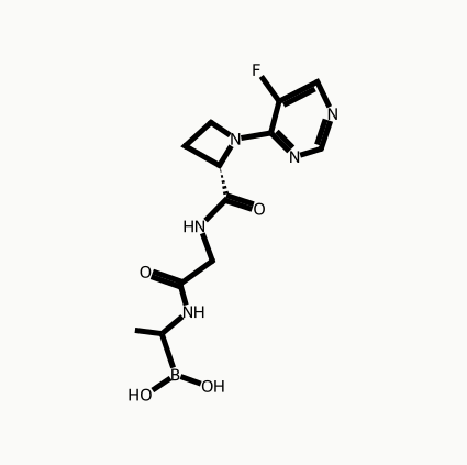 CC(NC(=O)CNC(=O)[C@@H]1CCN1c1ncncc1F)B(O)O